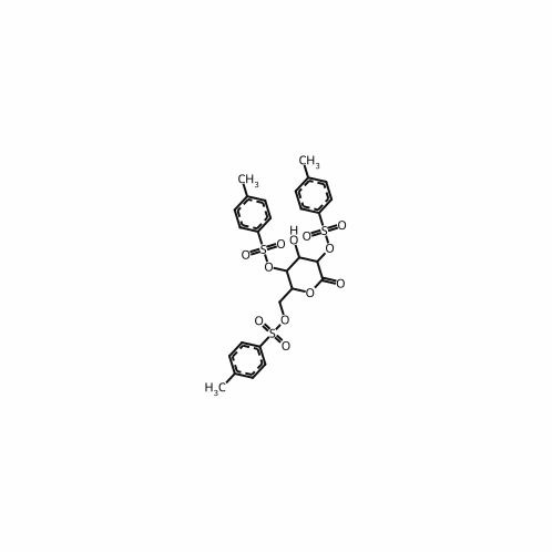 Cc1ccc(S(=O)(=O)OCC2OC(=O)C(OS(=O)(=O)c3ccc(C)cc3)C(O)C2OS(=O)(=O)c2ccc(C)cc2)cc1